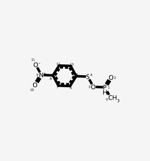 C[PH](=O)OSc1ccc([N+](=O)[O-])cc1